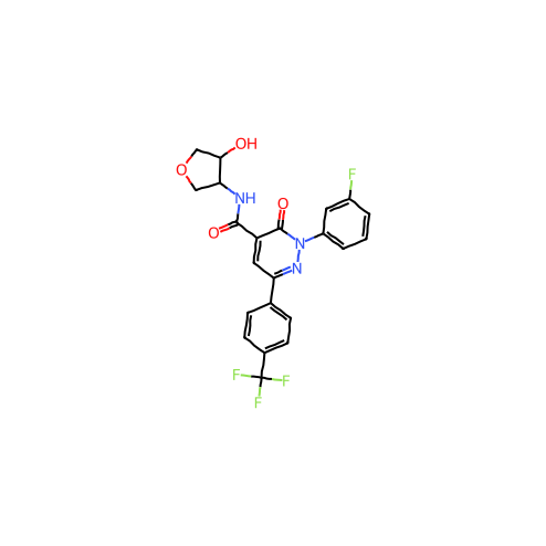 O=C(NC1COCC1O)c1cc(-c2ccc(C(F)(F)F)cc2)nn(-c2cccc(F)c2)c1=O